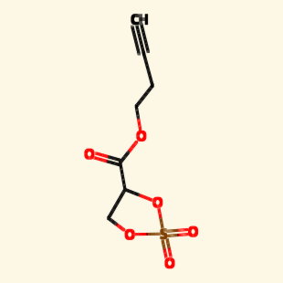 C#CCCOC(=O)C1COS(=O)(=O)O1